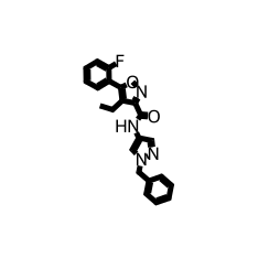 CCc1c(C(=O)Nc2cnn(Cc3ccccc3)c2)noc1-c1ccccc1F